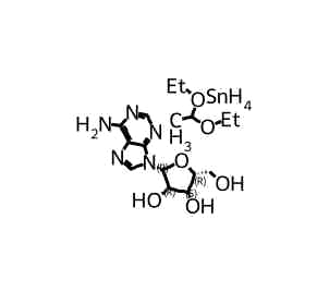 CCOC(C)OCC.Nc1ncnc2c1ncn2[C@@H]1O[C@H](CO)[C@@H](O)[C@H]1O.[SnH4]